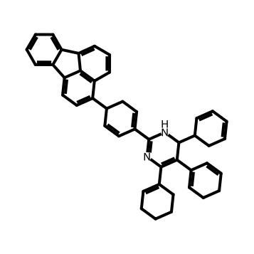 C1=CCC(C2NC(C3=CCC(c4ccc5c6c(cccc46)-c4ccccc4-5)C=C3)=NC(C3=CCCCC3)=C2C2=CCCC=C2)C=C1